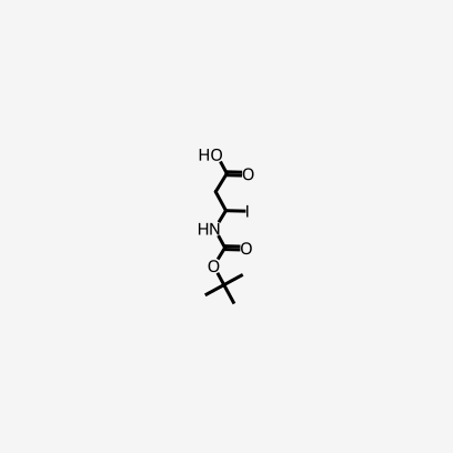 CC(C)(C)OC(=O)NC(I)CC(=O)O